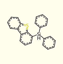 c1ccc([SiH](c2ccccc2)c2cccc3c2sc2ccccc23)cc1